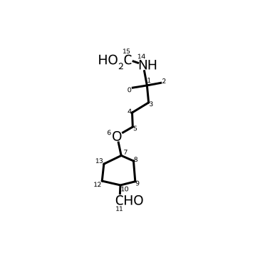 CC(C)(CCCOC1CCC(C=O)CC1)NC(=O)O